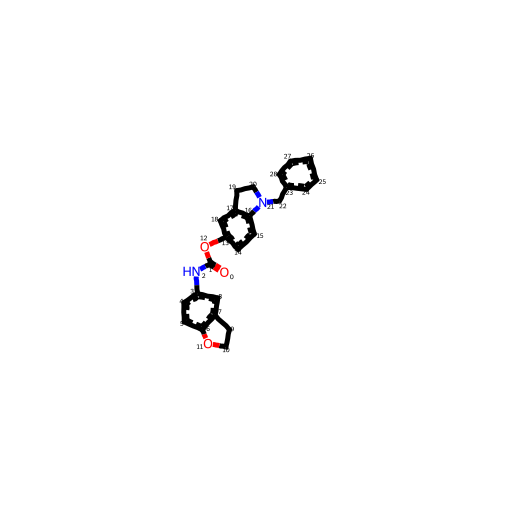 O=C(Nc1ccc2c(c1)CCO2)Oc1ccc2c(c1)CCN2Cc1ccccc1